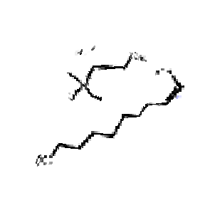 CCCCCCCC/C=C\CCCCCCCC(=O)[O-].CCCCCCCCCCCC[N+](C)(C)[O-].[Na+]